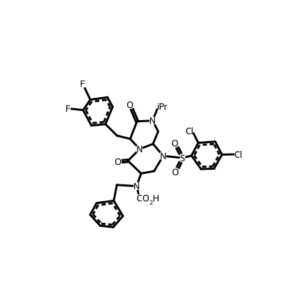 CC(C)N1CC2N(C(=O)C(N(Cc3ccccc3)C(=O)O)CN2S(=O)(=O)c2ccc(Cl)cc2Cl)C(Cc2ccc(F)c(F)c2)C1=O